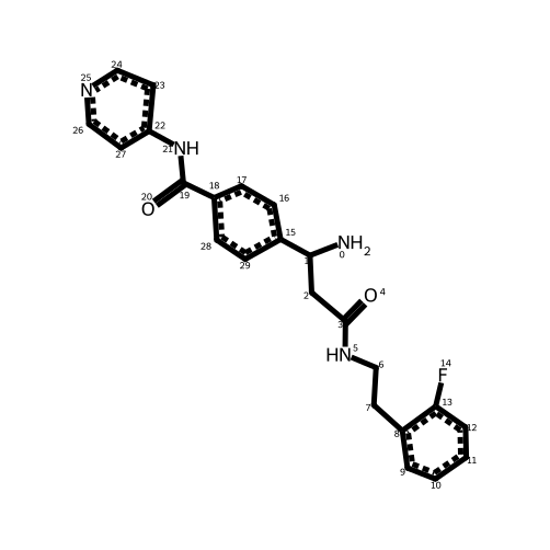 NC(CC(=O)NCCc1ccccc1F)c1ccc(C(=O)Nc2ccncc2)cc1